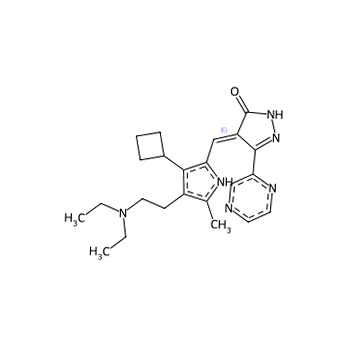 CCN(CC)CCc1c(C)[nH]c(/C=C2/C(=O)NN=C2c2cnccn2)c1C1CCC1